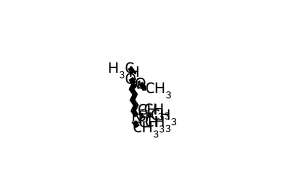 CCO[SiH](CCCCCN(CC)[Si](C)(C)C(C)(C)C)OCC